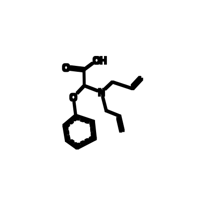 C=CCN(CC=C)C(Oc1ccccc1)C(=O)O